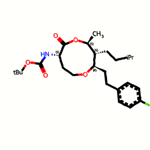 CC(C)CC[C@H]1[C@H](C)OC(=O)[C@@H](NC(=O)OC(C)(C)C)CCO[C@@H]1CCc1ccc(F)cc1